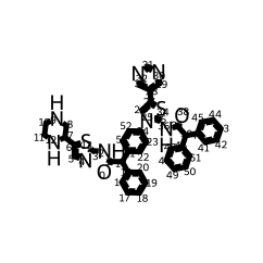 O=C(Nc1ncc(C2CNCCN2)s1)C(c1ccccc1)c1ccc(-[n+]2cc(-c3cncnc3)sc2NC(=O)C(c2ccccc2)c2ccccc2)cc1